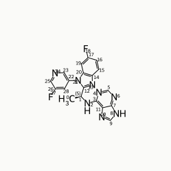 C[C@H](Nc1ncnc2[nH]cnc12)c1nc2ccc(F)cc2n1-c1cncc(F)c1